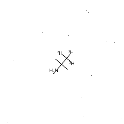 [2H]C([2H])([2H])C(C)(C)N